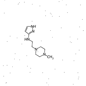 CN1CCN(CCNc2cc[nH]n2)CC1